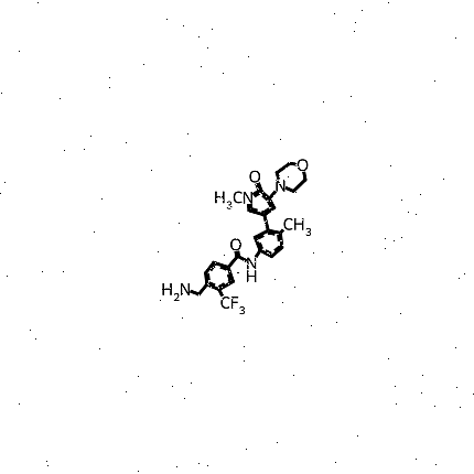 Cc1ccc(NC(=O)c2ccc(CN)c(C(F)(F)F)c2)cc1-c1cc(N2CCOCC2)c(=O)n(C)c1